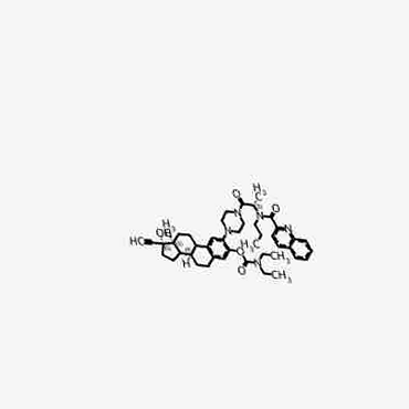 C#C[C@]1(O)CCC2[C@@H]3CCc4cc(OC(=O)N(CC)CC)c(N5CCN(C(=O)[C@H](C)N(CCC)C(=O)c6ccc7ccccc7n6)CC5)cc4C3CC[C@@]21C